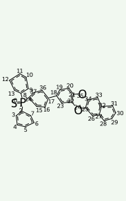 S=P(c1ccccc1)(c1ccccc1)c1ccc(-c2ccc3c(c2)Oc2cc4ccccc4cc2O3)cc1